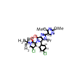 BC(B)(B)n1cc(Cl)cc(N2C(=O)c3nc(-c4cnc(OC)nc4OC)n(C(C)C)c3C2c2ccc(Cl)cc2)c1=O